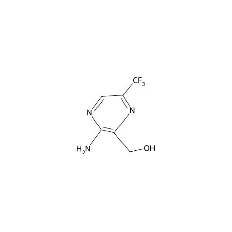 Nc1ncc(C(F)(F)F)nc1CO